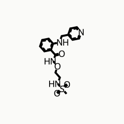 CS(=O)(=O)NCCONC(=O)c1ccccc1NCc1ccncc1